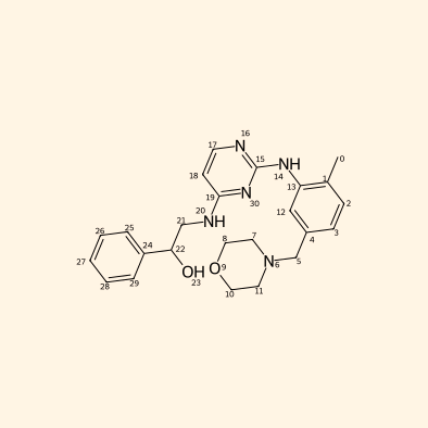 Cc1ccc(CN2CCOCC2)cc1Nc1nccc(NCC(O)c2ccccc2)n1